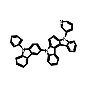 c1ccc(-n2c3ccccc3c3cc(-n4c5ccccc5c5c6c7ccccc7n(-c7cccnc7)c6ccc54)ccc32)cc1